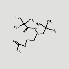 CC(C)(C)C[C@H](CCOC(N)=O)NC(=O)C(C)(C)C